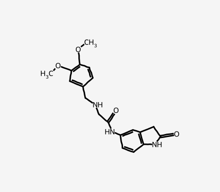 COc1ccc(CNCC(=O)Nc2ccc3c(c2)CC(=O)N3)cc1OC